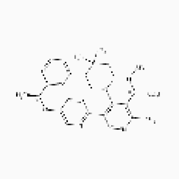 Cc1ncc(-c2ccc(O[C@@H](C)c3ccccc3)cn2)c(N2CCC(C)(C)CC2)c1[C@H](OC(C)(C)C)C(=O)O